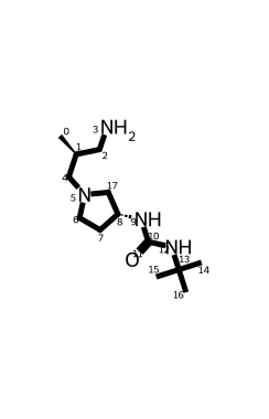 C[C@@H](CN)CN1CC[C@@H](NC(=O)NC(C)(C)C)C1